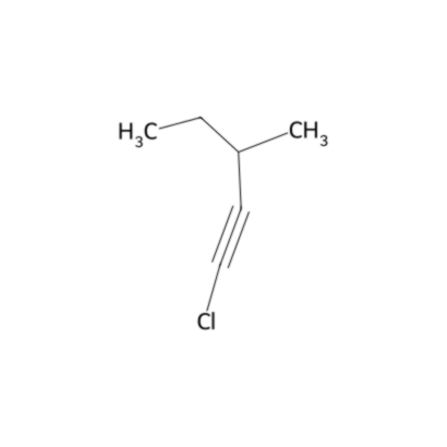 CCC(C)C#CCl